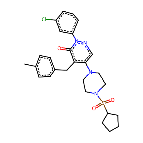 Cc1ccc(Cc2c(N3CCN(S(=O)(=O)C4CCCC4)CC3)cnn(-c3cccc(Cl)c3)c2=O)cc1